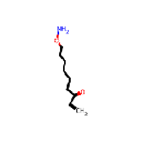 C=CC(=O)CCCCCCON